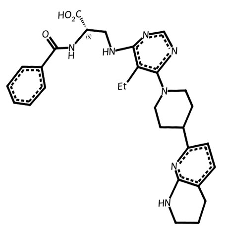 CCc1c(NC[C@H](NC(=O)c2ccccc2)C(=O)O)ncnc1N1CCC(c2ccc3c(n2)NCCC3)CC1